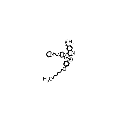 CCCCCCCOc1ccc(S(=O)(=O)c2cnc3ccc(SC)cc3c2N2CCN(CCN3CCCCC3)CC2)cc1